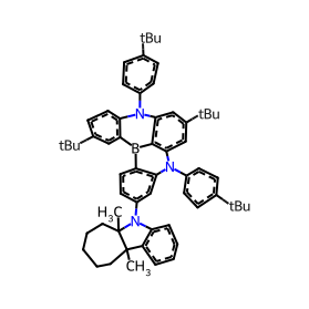 CC(C)(C)c1ccc(N2c3ccc(C(C)(C)C)cc3B3c4ccc(N5c6ccccc6C6(C)CCCCCC56C)cc4N(c4ccc(C(C)(C)C)cc4)c4cc(C(C)(C)C)cc2c43)cc1